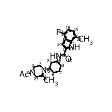 CC(=O)N1CCN([C@@H]2CCC[C@@H](NC(=O)c3cc4c(F)ccc(C)c4[nH]3)C2)[C@H](C)C1